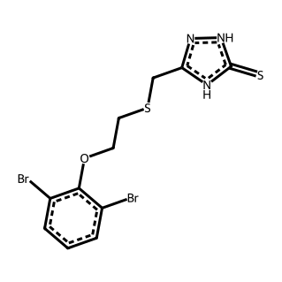 S=c1[nH]nc(CSCCOc2c(Br)cccc2Br)[nH]1